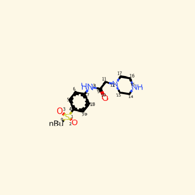 CCCCS(=O)(=O)c1ccc(NC(=O)CN2CCNCC2)cc1